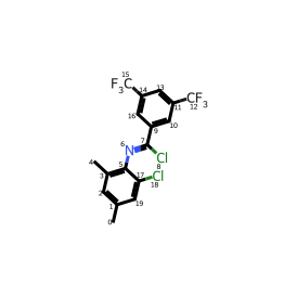 Cc1cc(C)c(N=C(Cl)c2cc(C(F)(F)F)cc(C(F)(F)F)c2)c(Cl)c1